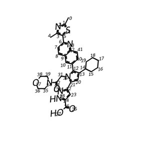 Cc1nc(C)c(-c2ccc3cc(-c4c(C5CCCCC5)cc(-c5cc(C(=O)O)[nH]n5)n4CC(=O)N4CCOCC4)ccc3n2)s1